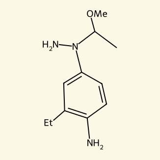 CCc1cc(N(N)C(C)OC)ccc1N